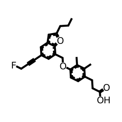 CCCc1cc2cc(C#CCF)cc(COc3ccc(CCC(=O)O)c(C)c3C)c2o1